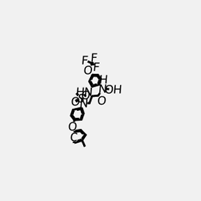 Cc1ccc(Oc2ccc(N(CC(Nc3cccc(OC(F)(F)F)c3)C(=O)NO)S(C)(=O)=O)cc2)cc1